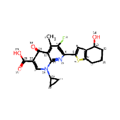 Cc1c(F)c(-c2cc3c(s2)CCCC3O)nc2c1c(=O)c(C(=O)O)cn2C1CC1